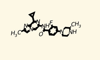 Cc1cn2cc(NC(=O)c3ccc(N4CCN[C@H](C)C4)cc3F)nc(C3CC3)c2n1